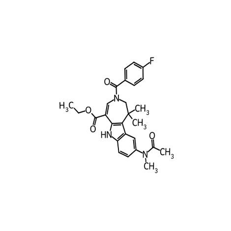 CCOC(=O)C1=CN(C(=O)c2ccc(F)cc2)CC(C)(C)c2c1[nH]c1ccc(N(C)C(C)=O)cc21